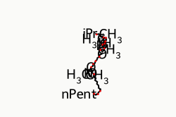 CCCCC/C=C\C/C=C\CCCCCCCCOCC(CN(C)C)OCCCCCCCCO[C@H]1CC[C@@]2(C)C(=CC[C@@H]3[C@@H]2CC[C@]2(C)C([C@H](C)CCCC(C)C)CC[C@@H]32)C1